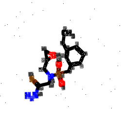 CCc1cccc(CS(=O)(=O)N(CC(N)=S)CC2CO2)c1